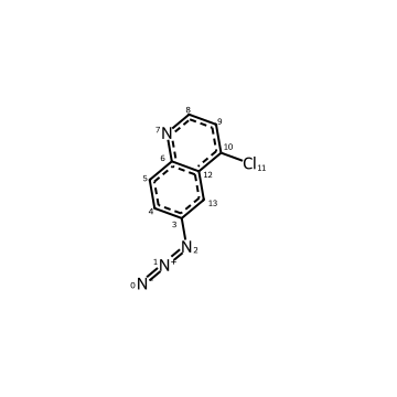 [N-]=[N+]=Nc1ccc2nccc(Cl)c2c1